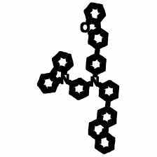 c1cc(-c2ccc3c(ccc4ccccc43)c2)cc(N(c2ccc(-c3ccc4c(c3)oc3ccccc34)cc2)c2cccc(-n3c4ccccc4c4ccccc43)c2)c1